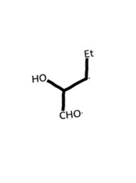 CC[CH]C(O)[C]=O